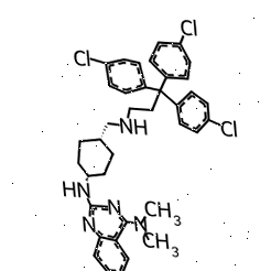 CN(C)c1nc(N[C@H]2CC[C@@H](CNCCC(c3ccc(Cl)cc3)(c3ccc(Cl)cc3)c3ccc(Cl)cc3)CC2)nc2ccccc12